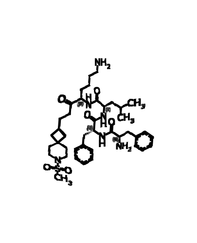 CC(C)C[C@@H](NC(=O)[C@@H](Cc1ccccc1)NC(=O)[C@H](N)Cc1ccccc1)C(=O)N[C@H](CCCCN)C(=O)CCC1CC2(CCN(S(C)(=O)=O)CC2)C1